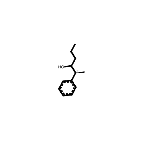 CCCC(O)[C@@H](C)c1ccccc1